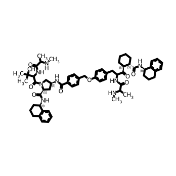 CNC(C)C(=O)NC(Cc1ccc(OCc2ccc(C(=O)N[C@H]3C[C@@H](C(=O)N[C@@H]4CCCc5ccccc54)N(C(=O)C(NC(=O)C(C)NC)C(C)(C)C)C3)cc2)cc1)C(=O)[C@H]1CCCC[C@@H]1C(=O)N[C@@H]1CCCc2ccccc21